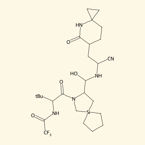 CC(C)(C)C(NC(=O)C(F)(F)F)C(=O)N1C[Si]2(CCCC2)CC1C(O)NC(C#N)CC1CCC2(CC2)NC1=O